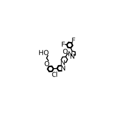 O=C(C1CCN(c2cc(-c3cc(OCCCO)ccc3Cl)ccn2)CC1)N1N=CCC1c1cc(F)cc(F)c1